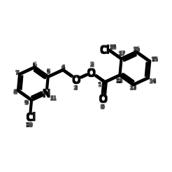 O=C(OOCc1cccc(Cl)n1)c1ccccc1Cl